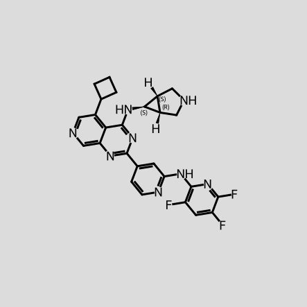 Fc1cc(F)c(Nc2cc(-c3nc(N[C@H]4[C@@H]5CNC[C@@H]54)c4c(C5CCC5)cncc4n3)ccn2)nc1F